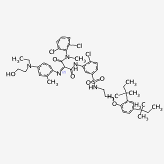 CCN(CCO)c1ccc(/N=C(/C(=O)Nc2cc(S(=O)(=O)NCCCOc3ccc(C(C)(C)CC)cc3C(C)(C)CC)ccc2Cl)C(=O)N(C)c2c(Cl)cccc2Cl)c(C)c1